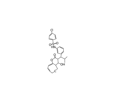 CC(C)C(c1cccc(NS(=O)(=O)c2ccc(Cl)cc2)c1)C1C(=O)OC2=CC=CCCCC2C1O